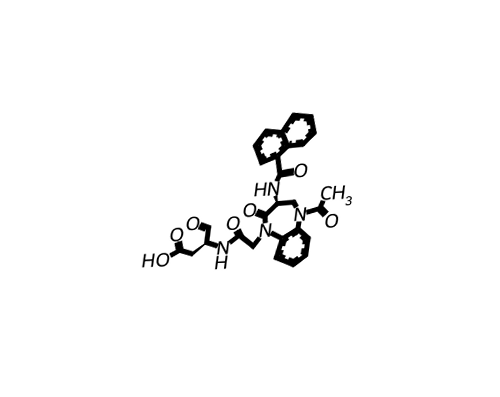 CC(=O)N1C[C@H](NC(=O)c2cccc3ccccc23)C(=O)N(CC(=O)N[C@H](C=O)CC(=O)O)c2ccccc21